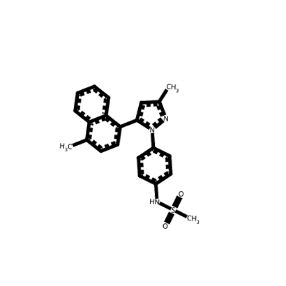 Cc1cc(-c2ccc(C)c3ccccc23)n(-c2ccc(NS(C)(=O)=O)cc2)n1